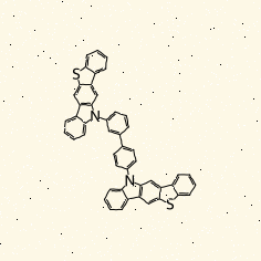 c1cc(-c2ccc(-n3c4ccccc4c4cc5sc6ccccc6c5cc43)cc2)cc(-n2c3ccccc3c3cc4sc5ccccc5c4cc32)c1